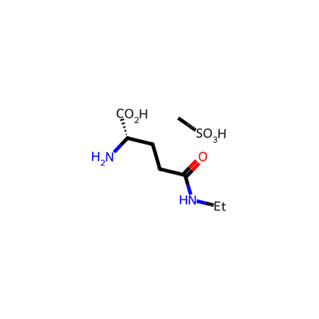 CCNC(=O)CC[C@H](N)C(=O)O.CS(=O)(=O)O